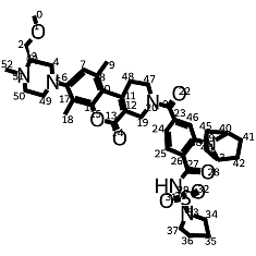 COC[C@H]1CN(c2cc(C)c3c4c(c(=O)oc3c2C)CN(C(=O)c2ccc(C(=O)NS(=O)(=O)N3CCCC3)c(N3C5CCC3CC5)c2)CC4)CCN1C